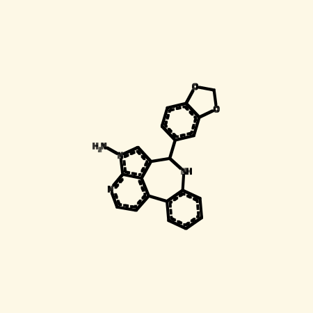 Nn1cc2c3c(ccnc31)-c1ccccc1NC2c1ccc2c(c1)OCO2